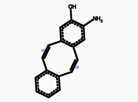 Nc1cc2c(cc1O)/C=C\c1ccccc1/C=C\2